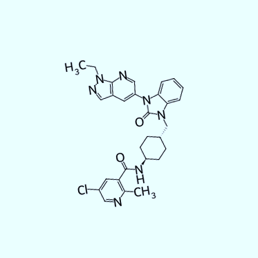 CCn1ncc2cc(-n3c(=O)n(C[C@H]4CC[C@H](NC(=O)c5cc(Cl)cnc5C)CC4)c4ccccc43)cnc21